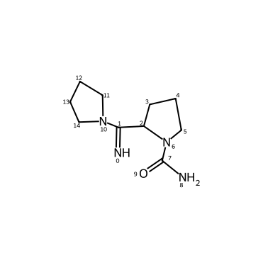 N=C(C1CCCN1C(N)=O)N1CCCC1